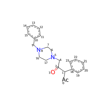 CC(=O)C(C(=O)CN1CCN(Cc2ccccc2)CC1)c1ccccc1